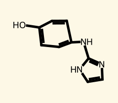 Oc1ccc(Nc2ncc[nH]2)cc1